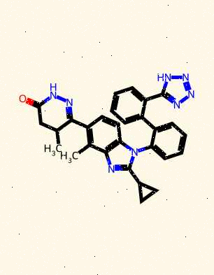 Cc1c(C2=NNC(=O)CC2C)ccc2c1nc(C1CC1)n2-c1ccccc1-c1ccccc1-c1nnn[nH]1